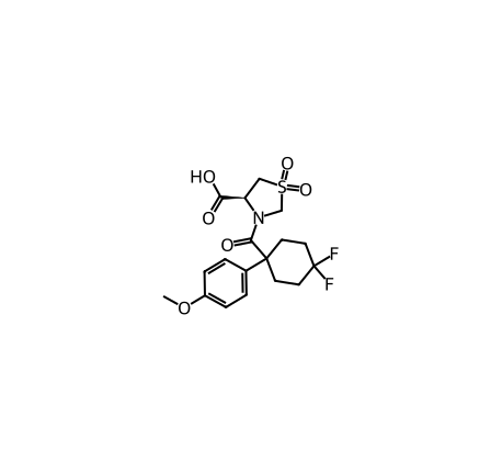 COc1ccc(C2(C(=O)N3CS(=O)(=O)C[C@@H]3C(=O)O)CCC(F)(F)CC2)cc1